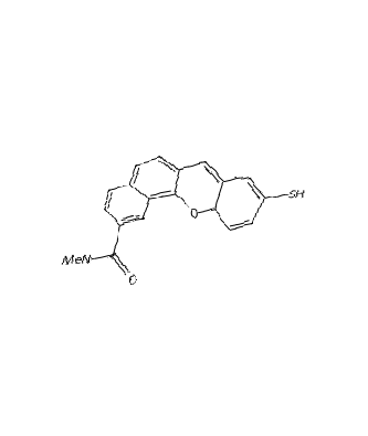 CNC(=O)c1ccc2ccc3c(c2c1)OC1C=CC(S)=CC1=C3